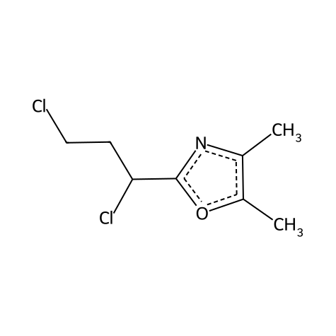 Cc1nc(C(Cl)CCCl)oc1C